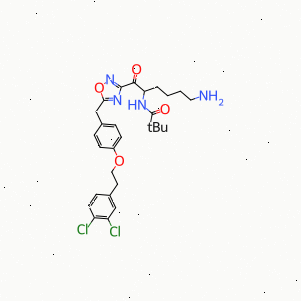 CC(C)(C)C(=O)NC(CCCCN)C(=O)c1noc(Cc2ccc(OCCc3ccc(Cl)c(Cl)c3)cc2)n1